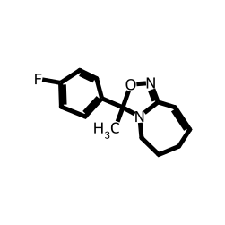 CC1(c2ccc(F)cc2)ON=C2C=CCCCN21